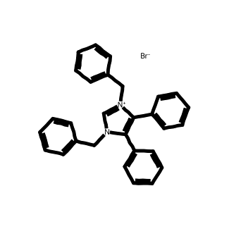 [Br-].c1ccc(Cn2c[n+](Cc3ccccc3)c(-c3ccccc3)c2-c2ccccc2)cc1